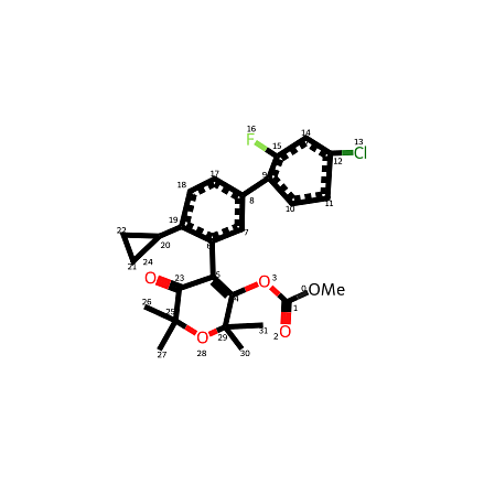 COC(=O)OC1=C(c2cc(-c3ccc(Cl)cc3F)ccc2C2CC2)C(=O)C(C)(C)OC1(C)C